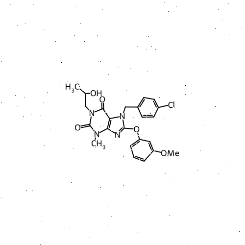 COc1cccc(Oc2nc3c(c(=O)n(CC(C)O)c(=O)n3C)n2Cc2ccc(Cl)cc2)c1